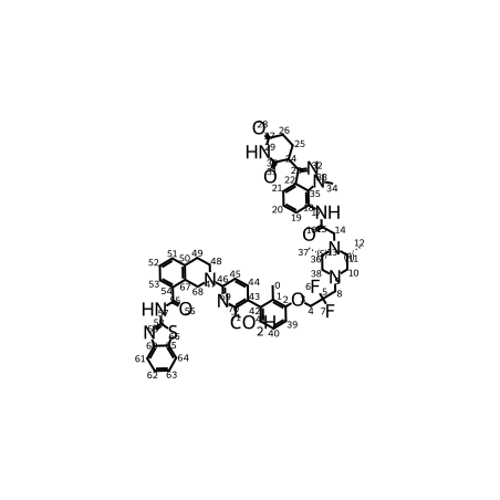 Cc1c(OCC(F)(F)CN2C[C@@H](C)N(CC(=O)Nc3cccc4c(C5CCC(=O)NC5=O)nn(C)c34)[C@@H](C)C2)cccc1-c1ccc(N2CCc3cccc(C(=O)Nc4nc5ccccc5s4)c3C2)nc1C(=O)O